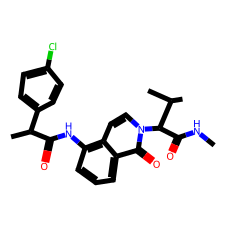 CNC(=O)C(C(C)C)n1ccc2c(NC(=O)C(C)c3ccc(Cl)cc3)cccc2c1=O